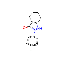 O=c1c2c([nH]n1-c1ccc(Cl)cc1)CCCC2